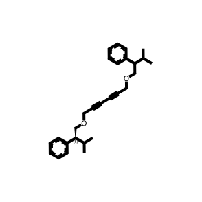 CC(C)C(COCC#CC#CCOC[C@H](c1ccccc1)C(C)C)c1ccccc1